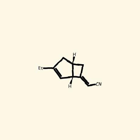 CCC1=C[C@H]2C(=CC#N)C[C@H]2C1